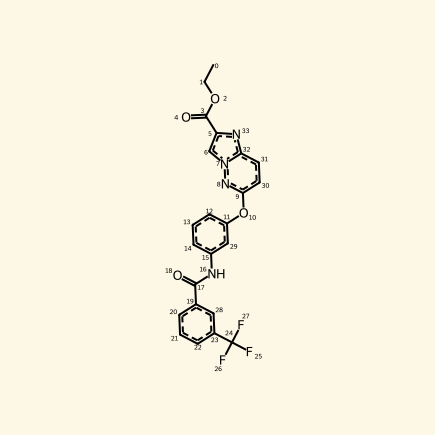 CCOC(=O)c1cn2nc(Oc3cccc(NC(=O)c4cccc(C(F)(F)F)c4)c3)ccc2n1